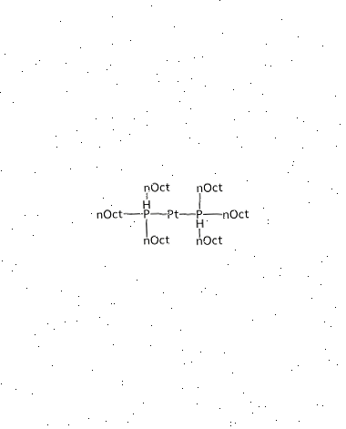 CCCCCCCC[PH](CCCCCCCC)(CCCCCCCC)[Pt][PH](CCCCCCCC)(CCCCCCCC)CCCCCCCC